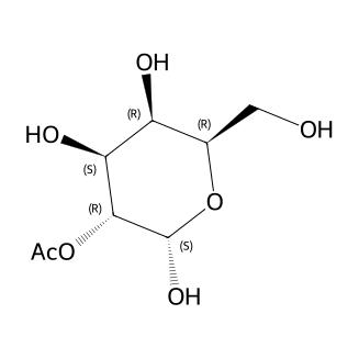 CC(=O)O[C@@H]1[C@@H](O)[C@@H](O)[C@@H](CO)O[C@@H]1O